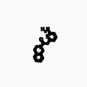 Nc1cccc(CC(=O)N2CCc3ccccc3C2)n1